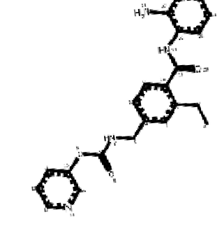 CCc1cc(CNC(=O)Oc2cccnc2)ccc1C(=O)Nc1ccccc1N